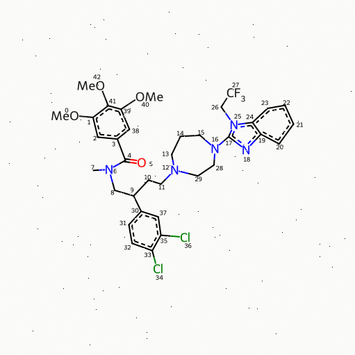 COc1cc(C(=O)N(C)CC(CCN2CCCN(c3nc4ccccc4n3CC(F)(F)F)CC2)c2ccc(Cl)c(Cl)c2)cc(OC)c1OC